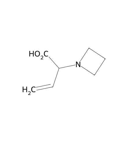 C=CC(C(=O)O)N1CCC1